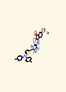 Cc1ccc(N(c2ccc(C)cc2)c2ccc(-c3ncc(/N=c4\c(=O)c(=O)c5cc(C(F)(F)F)ccc45)c4nsnc34)s2)cc1